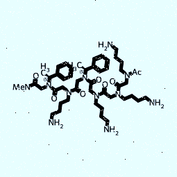 CNC(=O)CN(C(=O)CN(CCCCN)C(=O)CN(C(=O)CN(CCCCN)C(=O)CN(CCCCN)C(=O)CN(CCCCN)C(C)=O)[C@@H](C)c1ccccc1)[C@@H](C)c1ccccc1